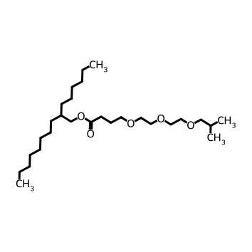 CCCCCCCCC(CCCCCC)COC(=O)CCCOCCOCCOCC(C)C